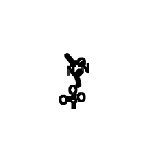 Cc1nc(COS(C)(=O)=O)no1